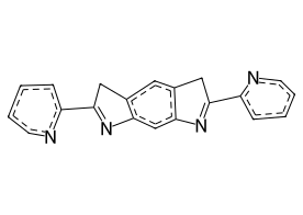 c1ccc(C2=Nc3cc4c(cc3C2)CC(c2ccccn2)=N4)nc1